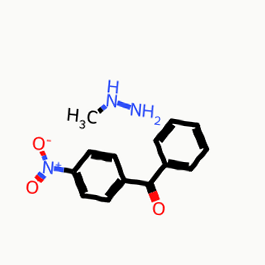 CNN.O=C(c1ccccc1)c1ccc([N+](=O)[O-])cc1